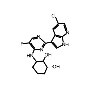 OC1C(Nc2nc(-c3c[nH]c4ncc(Cl)cc34)ncc2F)CCC[C@H]1O